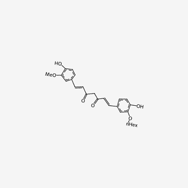 CCCCCCOc1cc(/C=C/C(=O)CC(=O)/C=C/c2ccc(O)c(OC)c2)ccc1O